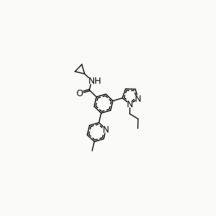 CCCn1nccc1-c1cc(C(=O)NC2CC2)cc(-c2ccc(C)cn2)c1